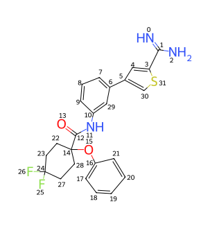 N=C(N)c1cc(-c2cccc(NC(=O)C3(Oc4ccccc4)CCC(F)(F)CC3)c2)cs1